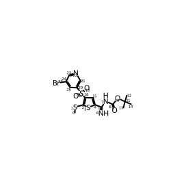 CSc1sc(C(=N)NC(=O)OC(C)(C)C)cc1S(=O)(=O)c1cncc(Br)c1